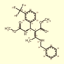 COC(=O)N[C@H](/C(C(=O)OC)=C(\C)NCc1ccccc1)c1cccc(C(F)(F)F)c1